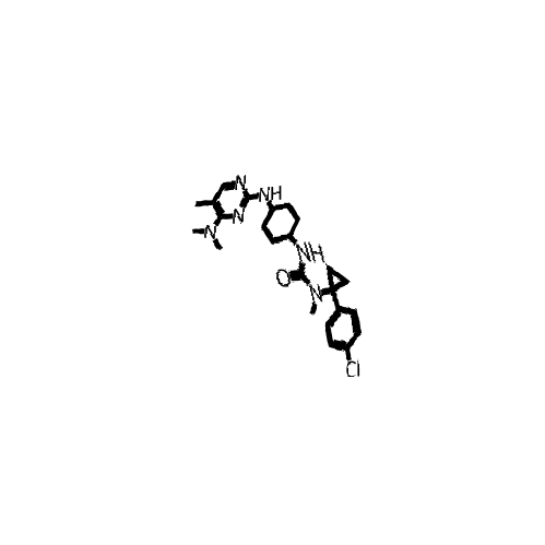 Cc1cnc(NC2CCC(NC(=O)N(C)C3(c4ccc(Cl)cc4)CC3)CC2)nc1N(C)C